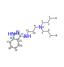 CCCCN(CCCC)CCCNc1n[nH]c2ccccc12